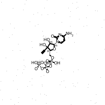 C#C[C@@]1(O)[C@@H](COP(=O)(O)OP(=O)(O)OP(=O)(O)O)O[C@@H](n2ccc(N)nc2=O)[C@@H]1O